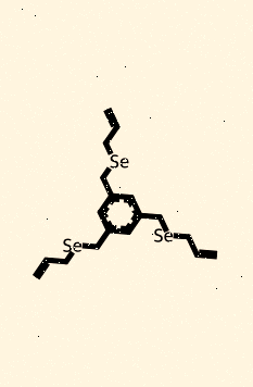 C=CC[Se]Cc1cc(C[Se]CC=C)cc(C[Se]CC=C)c1